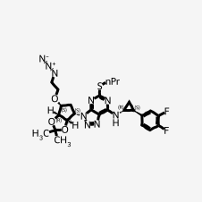 CCCSc1nc(N[C@@H]2C[C@H]2c2ccc(F)c(F)c2)c2nnn([C@H]3C[C@H](OCCN=[N+]=[N-])[C@H]4OC(C)(C)O[C@H]43)c2n1